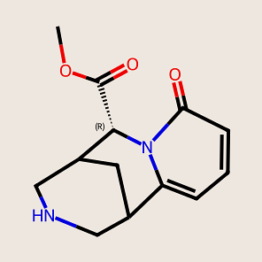 COC(=O)[C@H]1C2CNCC(C2)c2cccc(=O)n21